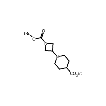 CCOC(=O)C1CCN(C2CN(C(=O)OC(C)(C)C)C2)CC1